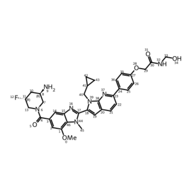 COc1cc(C(=O)N2C[C@H](N)C[C@@H](F)C2)cc2nc(-c3cc4ccc(-c5ccc(OCC(=O)NCO)cc5)nc4n3CC3CC3)n(C)c12